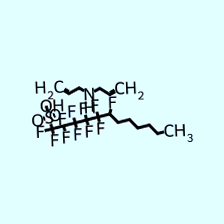 C=CCNCC=C.CCCCCCC(F)C(F)(F)C(F)(F)C(F)(F)C(F)(F)C(F)(F)S(=O)(=O)O